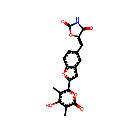 Cc1c(-c2cc3cc(/C=C4\OC(=O)NC4=O)ccc3o2)oc(=O)c(C)c1O